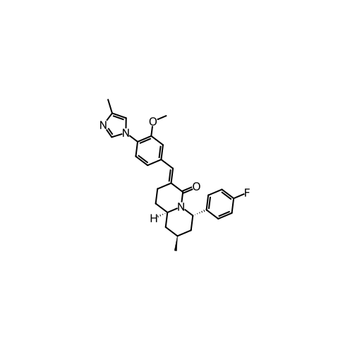 COc1cc(/C=C2\CC[C@@H]3C[C@H](C)C[C@@H](c4ccc(F)cc4)N3C2=O)ccc1-n1cnc(C)c1